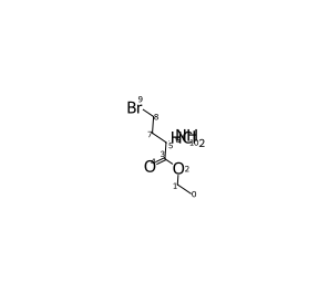 CCOC(=O)[C@@H](N)CCBr.Cl